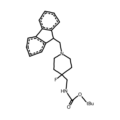 CC(C)(C)OC(=O)NCC1(F)CCN(CC2c3ccccc3-c3ccccc32)CC1